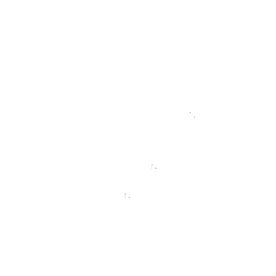 Ic1ccc(N2CCCC(N3CCCC3)C2)nc1